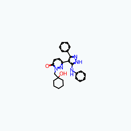 O=c1ccc(-c2c(-c3ccccc3)n[nH]c2Nc2ccccc2)nn1CC1(O)CCCCC1